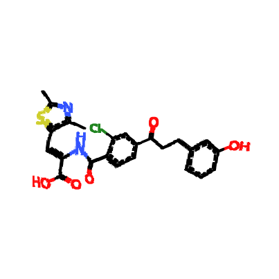 Cc1nc(C)c(C=C(NC(=O)c2ccc(C(=O)CCc3cccc(O)c3)cc2Cl)C(=O)O)s1